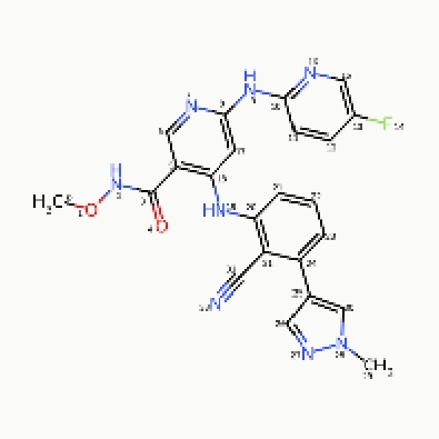 CONC(=O)c1cnc(Nc2ccc(F)cn2)cc1Nc1cccc(-c2cnn(C)c2)c1C#N